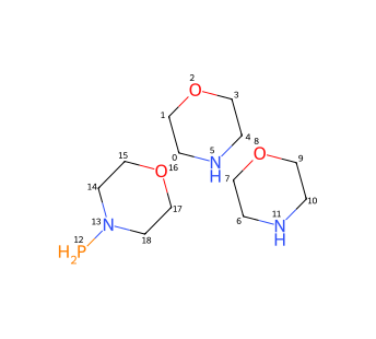 C1COCCN1.C1COCCN1.PN1CCOCC1